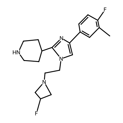 Cc1cc(-c2cn(CCN3CC(F)C3)c(C3CCNCC3)n2)ccc1F